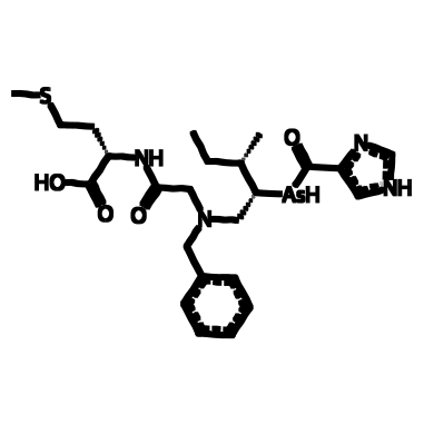 CC[C@H](C)[C@@H](CN(CC(=O)N[C@@H](CCSC)C(=O)O)Cc1ccccc1)[AsH]C(=O)c1c[nH]cn1